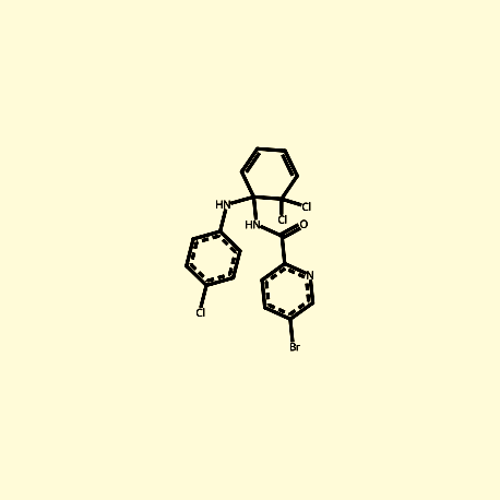 O=C(NC1(Nc2ccc(Cl)cc2)C=CC=CC1(Cl)Cl)c1ccc(Br)cn1